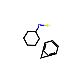 SNC1CCCCC1.c1ccc2c(c1)C2